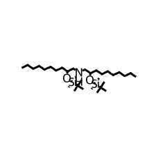 CCCCCCCCC(CNCC(CCCCCCCC)O[Si](C)(C)C(C)(C)C)O[Si](C)(C)C(C)(C)C